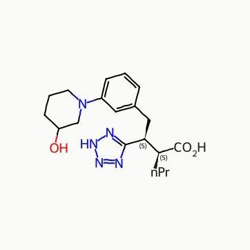 CCC[C@H](C(=O)O)[C@H](Cc1cccc(N2CCCC(O)C2)c1)c1nn[nH]n1